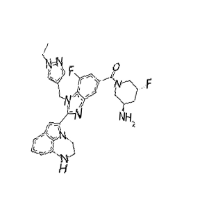 CCn1cc(Cn2c(-c3cc4cccc5c4n3CCN5)nc3cc(C(=O)N4C[C@H](N)C[C@@H](F)C4)cc(F)c32)cn1